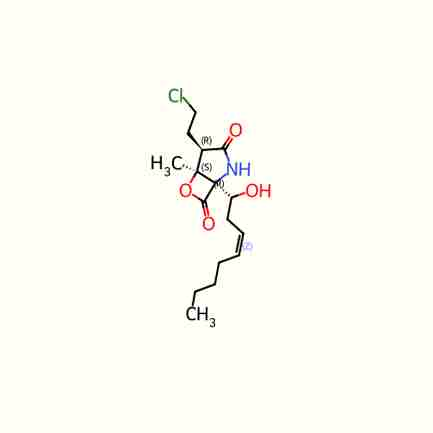 CCCC/C=C\CC(O)[C@@]12NC(=O)[C@H](CCCl)[C@]1(C)OC2=O